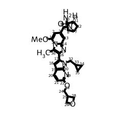 COc1cc(C(=O)N2C3C[C@@H](N)[C@H]2C3)cc2nc(-c3cc4ccc(OCC5COC5)nc4n3CC3CC3)c(C)n12